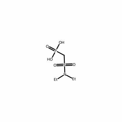 CCN(CC)S(=O)(=O)CP(=O)(O)O